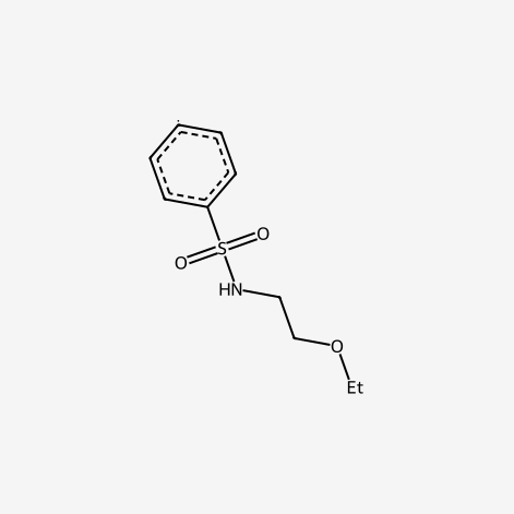 CCOCCNS(=O)(=O)c1cc[c]cc1